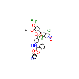 O=C(O[C@@H](Cc1c(Cl)c[n+]([O-])cc1Cl)c1ccc(OC(F)F)c(OCC2CC2)c1)c1ccc(NC(C(=O)O[C@H]2CN3CCC2CC3)c2ccccc2)cc1F